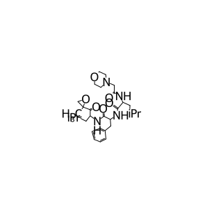 CC(C)CC(NC(=O)CN1CCOCC1)C(=O)NC(Cc1ccccc1)C(=O)NC(CC(C)C)C(=O)C1(C)CO1